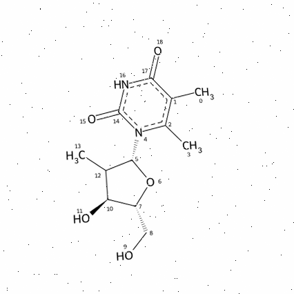 Cc1c(C)n([C@@H]2O[C@H](CO)[C@@H](O)C2C)c(=O)[nH]c1=O